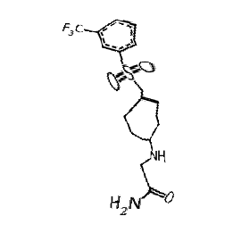 NC(=O)CNC1CCC(S(=O)(=O)c2cccc(C(F)(F)F)c2)CC1